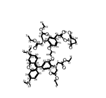 CCOC(=O)CN(CC(=O)OCC)c1ccc(-c2c3ccc(=[N+](C)C)cc-3oc3cc(N(C)C)ccc23)cc1OCCOc1ccc(CC(=O)ON2C(=O)CCC2=O)cc1N(CC(=O)OCC)CC(=O)OCC